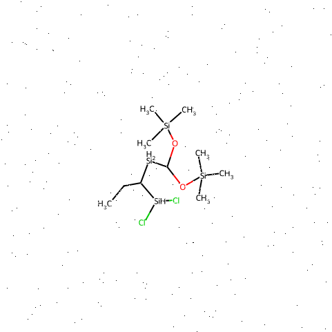 CCC([SiH2]C(O[Si](C)(C)C)O[Si](C)(C)C)[SiH](Cl)Cl